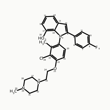 Cc1c(-n2c(-c3ccc(F)cc3)cc3cccc(O)c32)ccc(OCCN2CCN(C)CC2)c1Cl